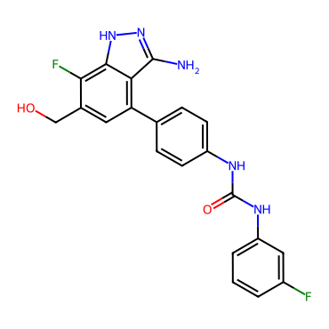 Nc1n[nH]c2c(F)c(CO)cc(-c3ccc(NC(=O)Nc4cccc(F)c4)cc3)c12